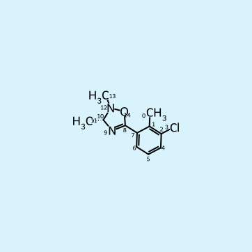 Cc1c(Cl)cccc1C1=N[C@H](C)N(C)O1